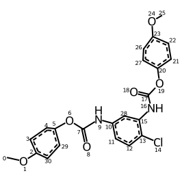 COc1ccc(OC(=O)Nc2ccc(Cl)c(NC(=O)Oc3ccc(OC)cc3)c2)cc1